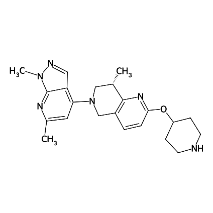 Cc1cc(N2Cc3ccc(OC4CCNCC4)nc3[C@@H](C)C2)c2cnn(C)c2n1